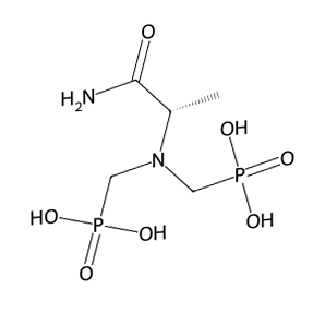 C[C@@H](C(N)=O)N(CP(=O)(O)O)CP(=O)(O)O